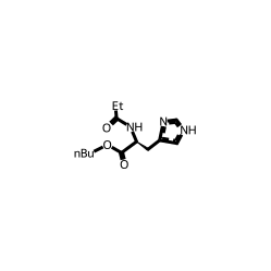 CCCCOC(=O)[C@H](Cc1c[nH]cn1)NC(=O)CC